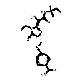 CCN1C(=O)[C@@H](CNc2ccc(C(N)=O)cc2)S/C1=C(/N)C(=O)NC(C)(C)CC